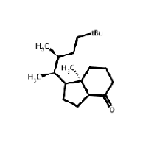 C[C@H](C1CCC2C(=O)CCC[C@@]21C)[C@@H](C)CCC(C)(C)C